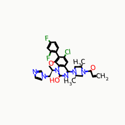 C=CC(=O)N1C[C@H](C)N(C2=NC(O)N3c4c2cc(Cl)c(-c2ccc(F)cc2F)c4OC[C@@H]3Cn2ccnc2)C[C@H]1C